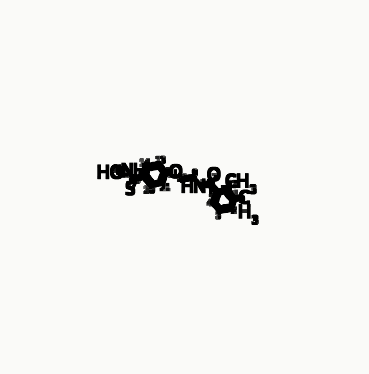 Cc1cccc(C(=O)NCCOc2ccc(C(=S)NO)cc2)c1C